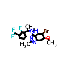 COc1cc2nc(C)nc(N[C@H](C)c3cccc(C(F)F)c3F)c2cc1Br